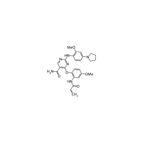 C=CC(=O)Nc1cc(OC)ccc1Oc1nc(Nc2ccc(N3CCCC3)cc2OC)ncc1C(N)=O